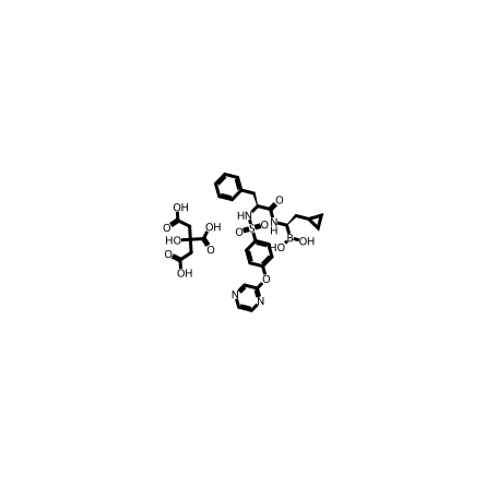 O=C(N[C@@H](CC1CC1)B(O)O)[C@H](Cc1ccccc1)NS(=O)(=O)c1ccc(Oc2cnccn2)cc1.O=C(O)CC(O)(CC(=O)O)C(=O)O